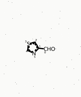 O=[C]c1cscn1